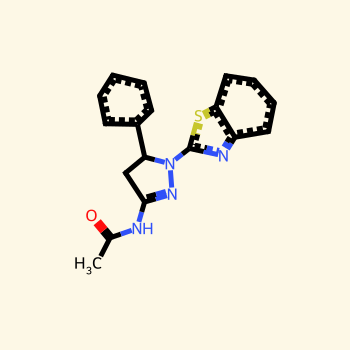 CC(=O)NC1=NN(c2nc3ccccc3s2)C(c2ccccc2)C1